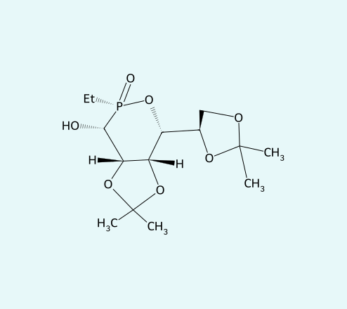 CC[P@]1(=O)O[C@H]([C@H]2COC(C)(C)O2)[C@@H]2OC(C)(C)O[C@@H]2[C@@H]1O